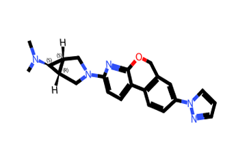 CN(C)[C@H]1[C@@H]2CN(c3ccc4c(n3)OCc3cc(-n5cccn5)ccc3-4)C[C@@H]21